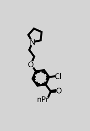 CCCC(=O)c1ccc(OCCN2CCCC2)cc1Cl